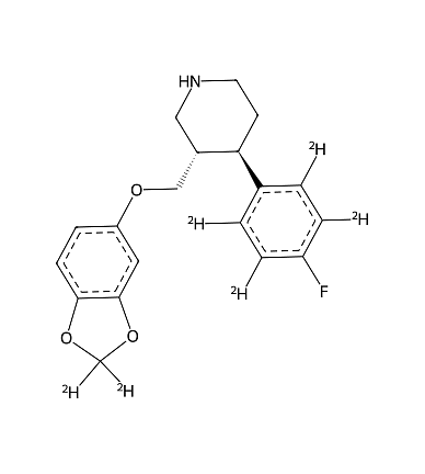 [2H]c1c([2H])c([C@@H]2CCNC[C@H]2COc2ccc3c(c2)OC([2H])([2H])O3)c([2H])c([2H])c1F